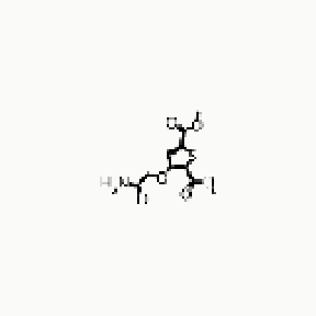 COC(=O)c1cc(OCC(N)=O)c(C(=O)OC)s1